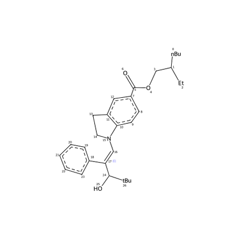 CCCCC(CC)COC(=O)c1ccc2c(c1)CCN2/C=C(\c1ccccc1)C(O)C(C)(C)C